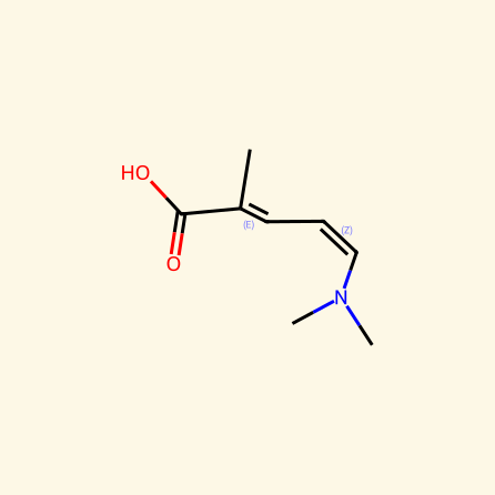 C/C(=C\C=C/N(C)C)C(=O)O